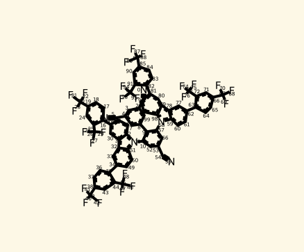 N#Cc1cc(C#N)cc(-c2c(-n3c4ccc(-c5ccc(C(F)(F)F)cc5C(F)(F)F)cc4c4cc(-c5ccc(C(F)(F)F)cc5C(F)(F)F)ccc43)cc(C#N)cc2-n2c3ccc(-c4ccc(C(F)(F)F)cc4C(F)(F)F)cc3c3cc(-c4ccc(C(F)(F)F)cc4C(F)(F)F)ccc32)c1